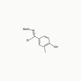 CC/C(=N\OC)c1ccc(O)c(C)c1